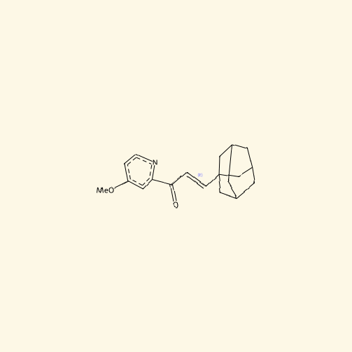 COc1ccnc(C(=O)/C=C/C23CC4CC(CC(C4)C2)C3)c1